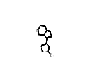 Brc1cncc(C2=CCC3CCNCC23)c1